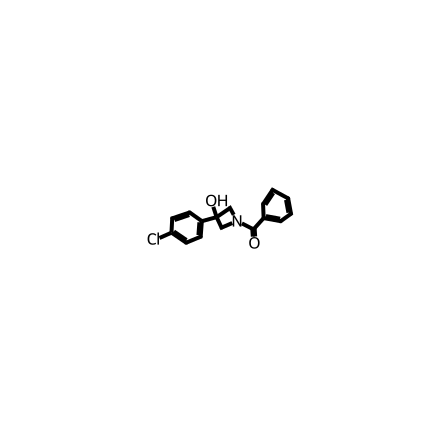 O=C(c1ccccc1)N1CC(O)(c2ccc(Cl)cc2)C1